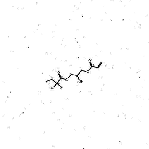 C=CC(=O)OCC(O)COC(=O)C(C)(F)CC